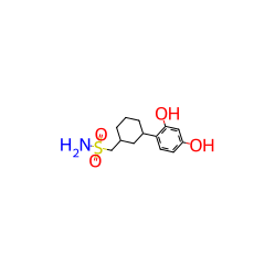 NS(=O)(=O)CC1CCCC(c2ccc(O)cc2O)C1